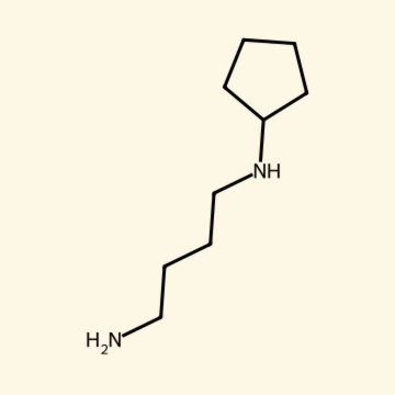 NCCCCNC1CCCC1